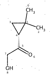 CC1(C)C[C@H]1C(=O)CO